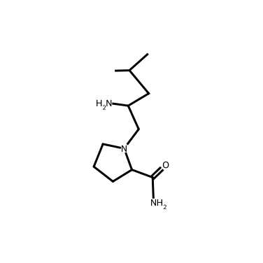 CC(C)CC(N)CN1CCCC1C(N)=O